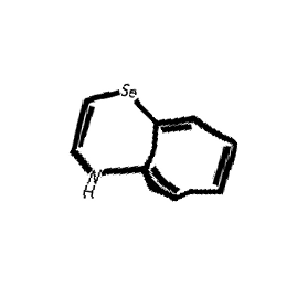 C1=C[Se]c2ccccc2N1